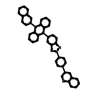 c1ccc2cc(-c3c4ccccc4c(-c4ccc5nn(-c6ccc(-c7cnc8ccccc8c7)cc6)nc5c4)c4ccccc34)ccc2c1